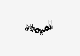 NC(=O)N1CCN(C2CCN(C(=O)[CH]Cc3ccc4[nH]ncc4c3)CC2)CC1